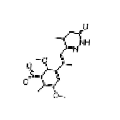 COC1=C(C)C(=S(=O)=O)C(OC)C(C(C)=CC2=NNC(=O)CC2C)=C1